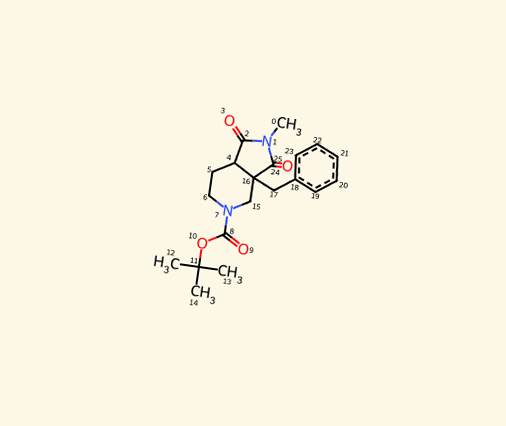 CN1C(=O)C2CCN(C(=O)OC(C)(C)C)CC2(Cc2ccccc2)C1=O